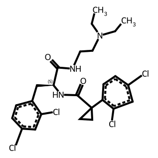 CCN(CC)CCNC(=O)[C@H](Cc1ccc(Cl)cc1Cl)NC(=O)C1(c2ccc(Cl)cc2Cl)CC1